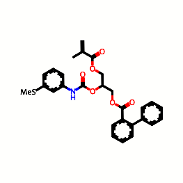 C=C(C)C(=O)OCC(COC(=O)c1ccccc1-c1ccccc1)OC(=O)Nc1cccc(SC)c1